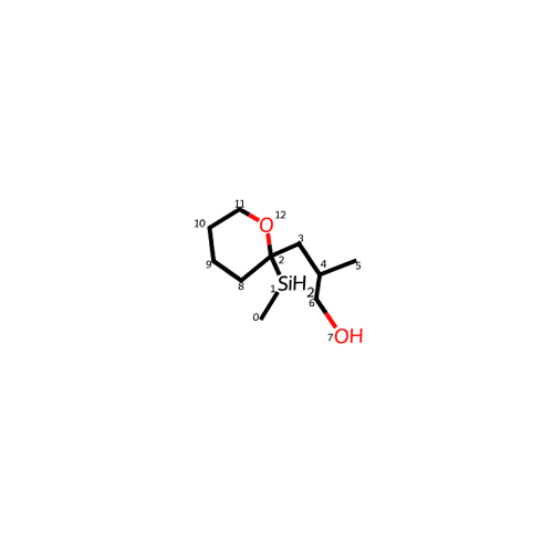 C[SiH2]C1(CC(C)CO)CCCCO1